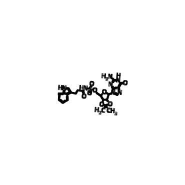 CC1(C)OC2C(COS(=O)(=O)NC(=O)CCc3c[nH]c4ccccc34)OC(n3cnc4c(=O)[nH]c(N)nc43)C2O1